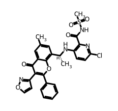 Cc1cc([C@@H](C)Nc2ccc(Cl)nc2C(=O)NS(C)(=O)=O)c2oc(-c3ccccc3)c(-c3ccon3)c(=O)c2c1